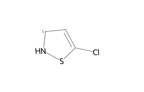 ClC1=C[C]NS1